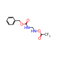 O=C(NCNOC(=O)C(F)(F)F)OCc1ccccc1